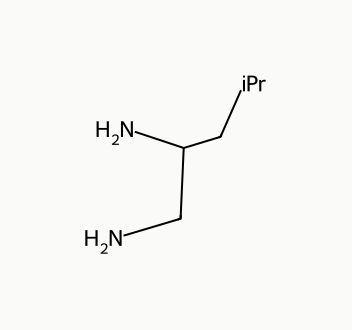 CC(C)CC(N)CN